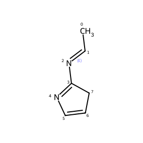 C/C=N/C1=NC=CC1